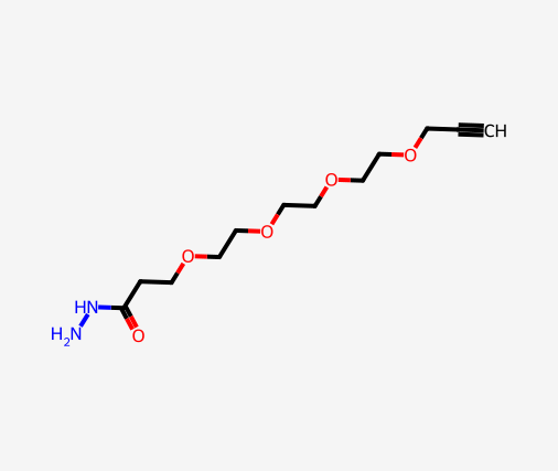 C#CCOCCOCCOCCOCCC(=O)NN